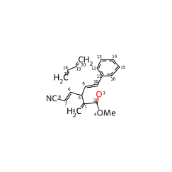 C=C(C(=O)OC)C(C=CC#N)C=Cc1ccccc1.C=CC=C